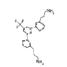 NCCCc1cccc(-c2cc(-c3cccc(CCCN)c3)cc(C(F)(F)F)c2)c1